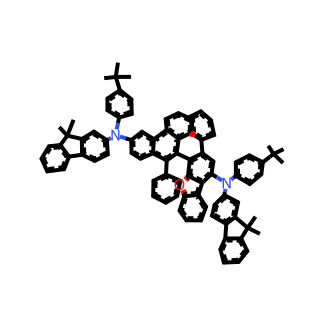 CC(C)(C)c1ccc(N(c2ccc3c(c2)C(C)(C)c2ccccc2-3)c2ccc3c(-c4ccccc4)c(-c4c(-c5ccccc5)cc(N(c5ccc(C(C)(C)C)cc5)c5ccc6c(c5)C(C)(C)c5ccccc5-6)c5c4oc4ccccc45)c4ccccc4c3c2)cc1